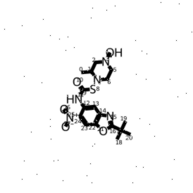 CC1CN(O)CCN1SC(=O)Nc1cc2nc(C(C)(C)C)oc2cc1[N+](=O)[O-]